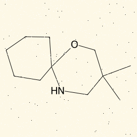 CC1(C)CNC2(CCCCC2)OC1